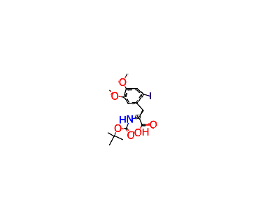 COc1cc(I)c(C[C@H](NC(=O)OC(C)(C)C)C(=O)O)cc1OC